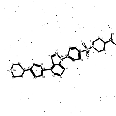 CN(C)C1CCN(S(=O)(=O)c2ccc(-n3ncc4c(-c5ccc(C6CCNCC6)cc5)cccc43)cc2)CC1